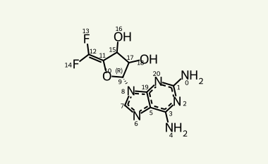 Nc1nc(N)c2ncn([C@@H]3OC(=C(F)F)C(O)C3O)c2n1